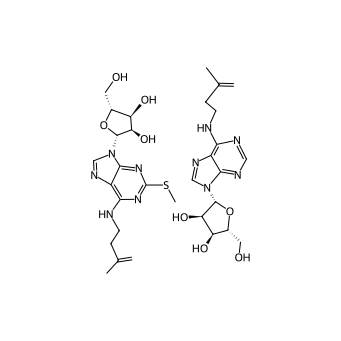 C=C(C)CCNc1nc(SC)nc2c1ncn2[C@@H]1O[C@H](CO)[C@@H](O)[C@H]1O.C=C(C)CCNc1ncnc2c1ncn2[C@@H]1O[C@H](CO)[C@@H](O)[C@H]1O